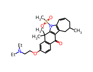 CCN(CC)CCOc1ccc2c(c1)C(C)(C)c1c(c3c(n1S(C)(=O)=O)C=CCC(C)C3)C2=O